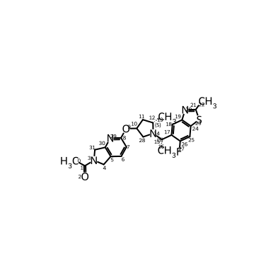 CC(=O)N1Cc2ccc(OC3C[C@H](C)N([C@@H](C)c4cc5nc(C)sc5cc4F)C3)nc2C1